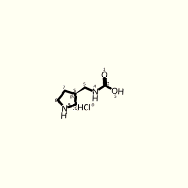 Cl.O=C(O)NC[C@@H]1CCNC1